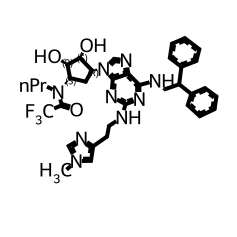 CCCN(C(=O)C(F)(F)F)[C@H]1C[C@@H](n2cnc3c(NCC(c4ccccc4)c4ccccc4)nc(NCCc4cn(C)cn4)nc32)[C@H](O)[C@@H]1O